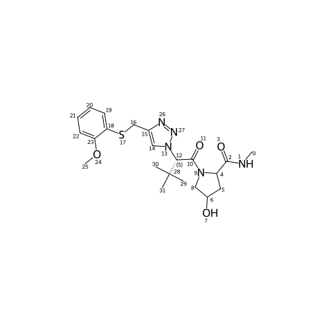 CNC(=O)C1CC(O)CN1C(=O)[C@@H](n1cc(CSc2ccccc2OC)nn1)C(C)(C)C